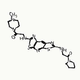 CN1CCN(C(=O)CNc2nc3cc4nc(NCC(=O)N5CCCC5)sc4nc3s2)CC1